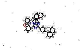 c1ccc(-c2cccc(-c3cccc4oc5cccc(C6=NC(c7ccc(-c8cccc9ccccc89)cc7)=NC(c7ccccc7)N6)c5c34)c2)cc1